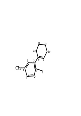 Cc1ccc(Cl)cc1C1=CCCCC1